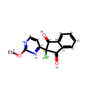 CCOc1nccc(C2(Br)C(=O)c3ccccc3C2=O)n1